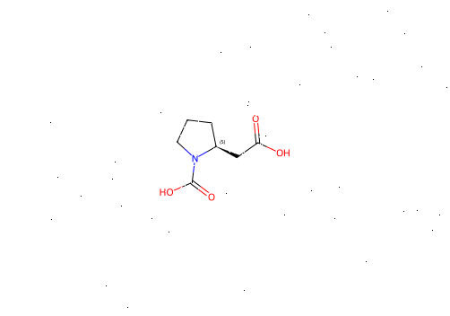 O=C(O)C[C@@H]1CCCN1C(=O)O